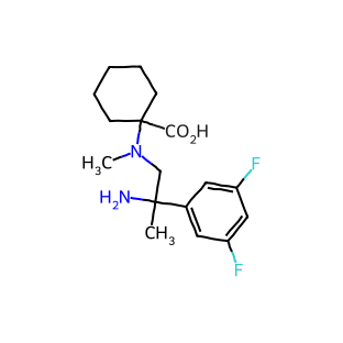 CN(CC(C)(N)c1cc(F)cc(F)c1)C1(C(=O)O)CCCCC1